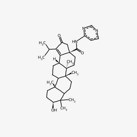 CC(C)C1=C2[C@H]3CCC4[C@@]5(C)CC[C@H](O)C(C)(C)C5CC[C@@]4(C)[C@]3(C)CC[C@@]2(C(=O)Nc2ccncn2)CC1=O